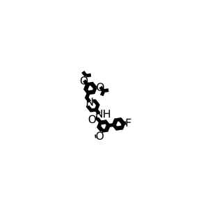 COc1cc(C(=O)NC2CCN(Cc3cc(OC(C)C)cc(OC(C)C)c3)CC2)cc(-c2ccc(F)cc2)c1